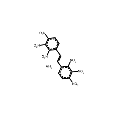 O=[N+]([O-])c1ccc(/C=C/c2ccc([N+](=O)[O-])c([N+](=O)[O-])c2[N+](=O)[O-])c([N+](=O)[O-])c1[N+](=O)[O-].[AlH3]